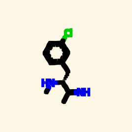 CN[C@H](Cc1cccc(Cl)c1)C(C)=N